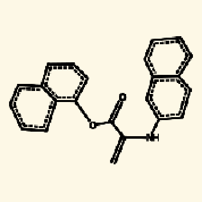 C=C(Nc1ccc2ccccc2c1)C(=O)Oc1cccc2ccccc12